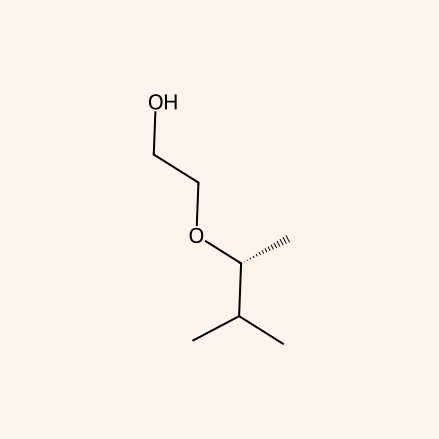 CC(C)[C@@H](C)OCCO